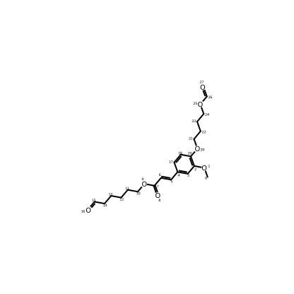 COc1cc(/C=C/C(=O)OCCCCCC=O)ccc1OCCCCOC=O